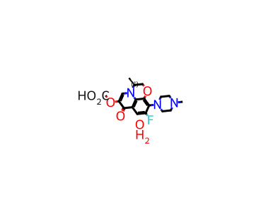 C[C@H]1COc2c(N3CCN(C)CC3)c(F)cc3c(=O)c(OC(=O)O)cn1c23.O